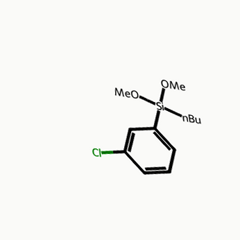 CCCC[Si](OC)(OC)c1cccc(Cl)c1